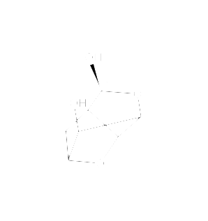 OC1C2CC3C(O2)C1O[C@@H]3O